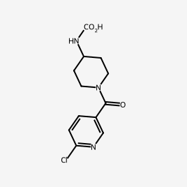 O=C(O)NC1CCN(C(=O)c2ccc(Cl)nc2)CC1